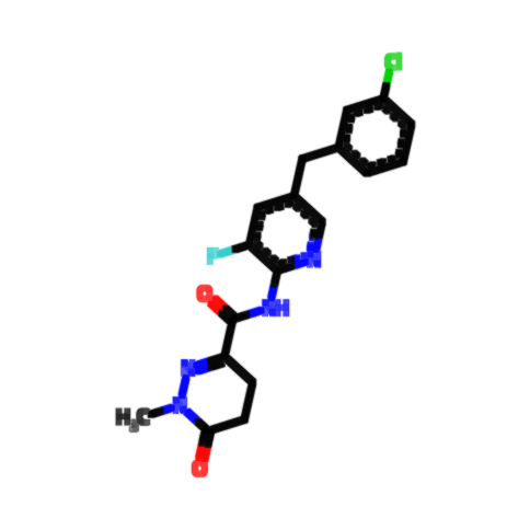 CN1N=C(C(=O)Nc2ncc(Cc3cccc(Cl)c3)cc2F)CCC1=O